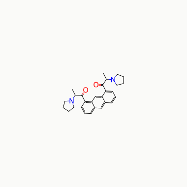 CC(C(=O)c1cccc2cc3cccc(C(=O)C(C)N4CCCC4)c3cc12)N1CCCC1